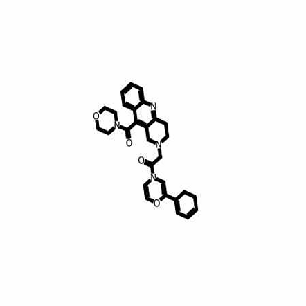 O=C(CN1CCc2nc3ccccc3c(C(=O)N3CCOCC3)c2C1)N1C=COC(C2=CC=CCC2)=C1